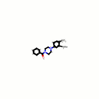 CNc1cc(N2CCN(C(=O)c3ccccc3)CC2)ccc1[N+](=O)[O-]